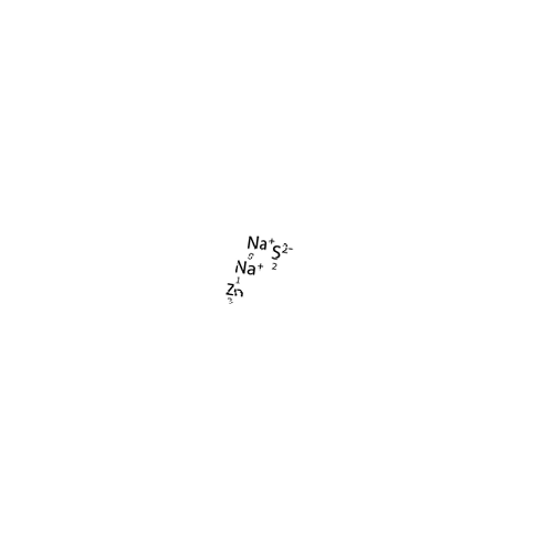 [Na+].[Na+].[S-2].[Zn]